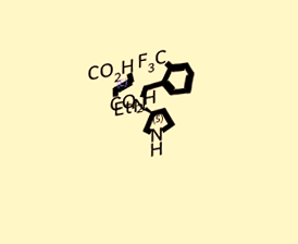 CCN(Cc1ccccc1C(F)(F)F)[C@H]1CCNC1.O=C(O)/C=C/C(=O)O